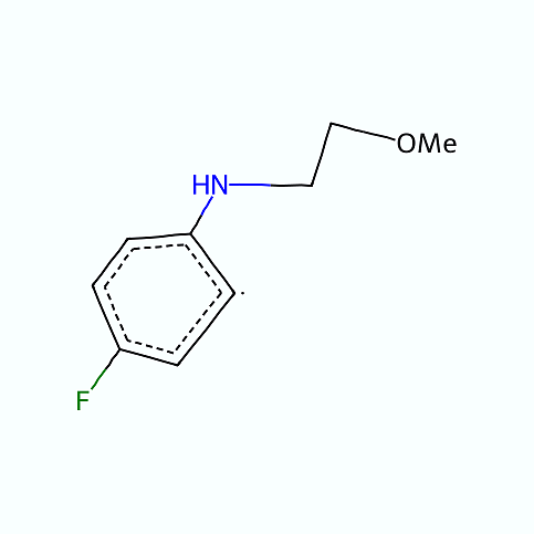 COCCNc1[c]cc(F)cc1